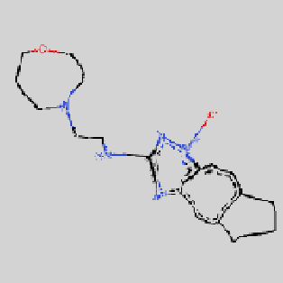 [O-][n+]1nc(NCCN2CCCOCC2)nc2cc3c(cc21)CCC3